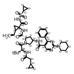 C=CC1CC1(NC(=O)[C@@H]1C[C@@H](NC(=O)c2cnc(N3CCCCC3)nc2-c2ccccc2)CN1C(=O)[C@@H](NC(=O)CC1CC1)C(C)(C)C)C(=O)NS(=O)(=O)C1CC1